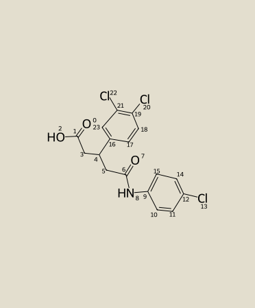 O=C(O)CC(CC(=O)Nc1ccc(Cl)cc1)c1ccc(Cl)c(Cl)c1